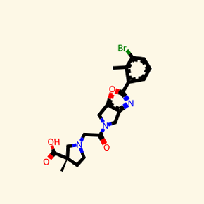 Cc1c(Br)cccc1-c1nc2c(o1)CN(C(=O)CN1CC[C@](C)(C(=O)O)C1)C2